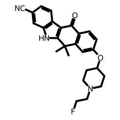 CC1(C)c2cc(OC3CCN(CCF)CC3)ccc2C(=O)c2c1[nH]c1cc(C#N)ccc21